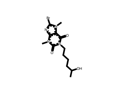 CC(O)CCCCn1c(=O)c2c(nc(Br)n2C)n(C)c1=O